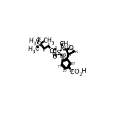 CC(C)[SH](=O)(COCC[Si](C)(C)C)N(C)C1OCC1c1cccc(C(=O)O)c1